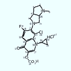 CN1CCC2CN(c3c(F)cc4c(=O)c(OC(=O)O)cn(C5CC5)c4c3Cl)CC21.Cl